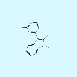 Cc1c(-c2ccnc(Cl)n2)c2ccccc2n1C